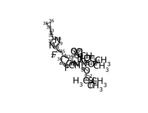 CN1C(N(COCC[Si](C)(C)C)C(=O)OC(C)(C)C)=N[C@](C)(c2cc(/C=C(\F)c3cnc(C#CC4CC4)cn3)ccc2F)CS1(=O)=O